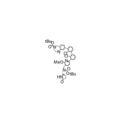 COc1nc(-c2cccc(-c3cccc(-c4ccc5c(c4)N(C)CCN(C(=O)OC(C)(C)C)C5)c3Cl)c2Cl)ccc1CN(C[C@@H]1CCC(=O)N1)C(=O)OC(C)(C)C